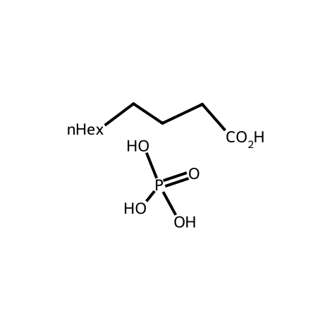 CCCCCCCCCC(=O)O.O=P(O)(O)O